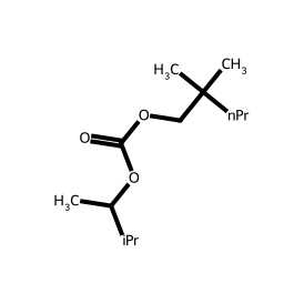 CCCC(C)(C)COC(=O)OC(C)C(C)C